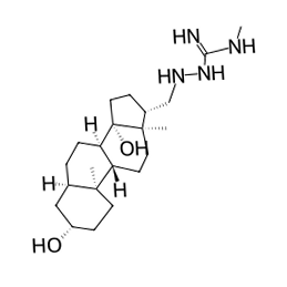 CNC(=N)NNC[C@H]1CC[C@]2(O)[C@@H]3CC[C@@H]4C[C@@H](O)CC[C@]4(C)[C@H]3CC[C@]12C